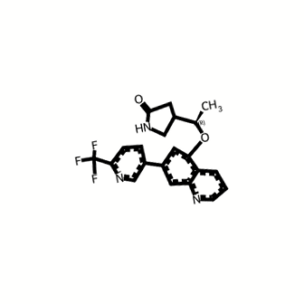 C[C@@H](Oc1cc(-c2ccc(C(F)(F)F)nc2)cc2ncccc12)C1CNC(=O)C1